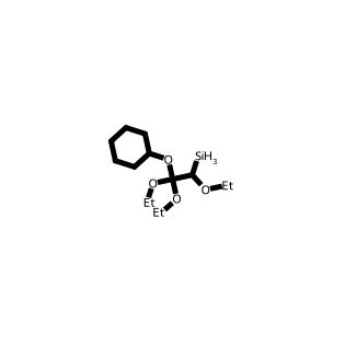 CCOC([SiH3])C(OCC)(OCC)OC1CCCCC1